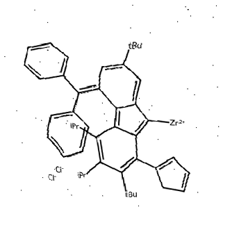 CC(C)c1c(C(C)(C)C)c(C2=CC=CC2)c2c(c1C(C)C)=c1c(cc(C(C)(C)C)cc1=C(c1ccccc1)c1ccccc1)[C]=2[Zr+2].[Cl-].[Cl-]